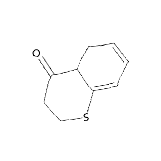 O=C1CCSC2=CC=CCC12